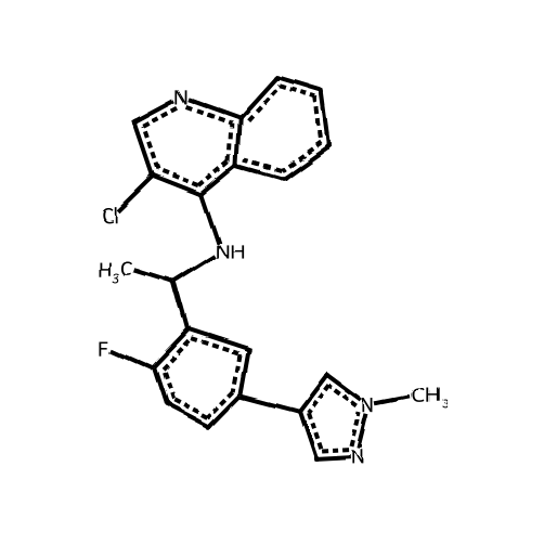 CC(Nc1c(Cl)cnc2ccccc12)c1cc(-c2cnn(C)c2)ccc1F